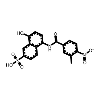 Cc1cc(C(=O)Nc2ccc(O)c3cc(S(=O)(=O)O)ccc23)ccc1[N+](=O)[O-]